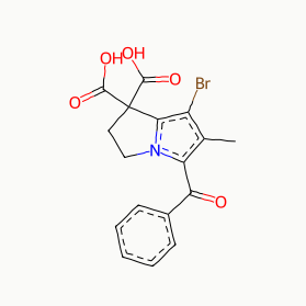 Cc1c(Br)c2n(c1C(=O)c1ccccc1)CCC2(C(=O)O)C(=O)O